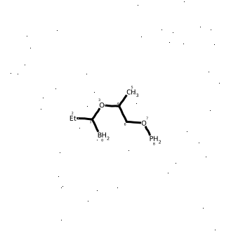 BC(CC)OC(C)COP